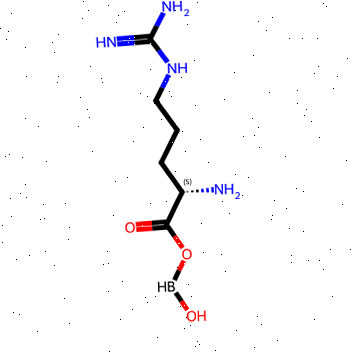 N=C(N)NCCC[C@H](N)C(=O)OBO